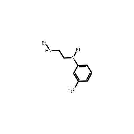 CCNCCN(CC)c1cccc(C)c1